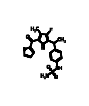 Cc1c(C(=O)c2cccs2)[nH]c(C(C)c2ccc(NS(N)(=O)=O)cc2)c1F